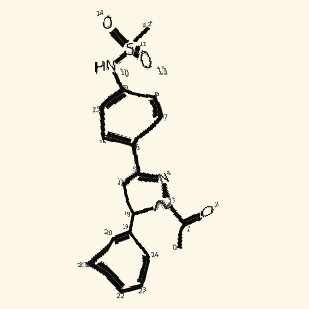 CC(=O)N1N=C(c2ccc(NS(C)(=O)=O)cc2)CC1c1ccccc1